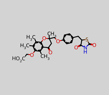 Cc1c(C)c2c(c(C)c1OCC(=O)O)C(=O)CC(C)(COc1ccc(CC3SC(=O)NC3=O)cc1)O2